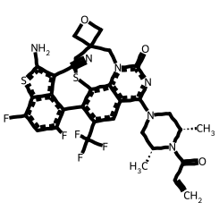 C=CC(=O)N1[C@H](C)CN(c2nc(=O)n3c4c(c(-c5c(F)cc(F)c6sc(N)c(C#N)c56)c(C(F)(F)F)cc24)SCC2(COC2)C3)C[C@@H]1C